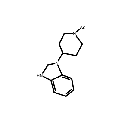 CC(=O)N1CCC(N2CNc3ccccc32)CC1